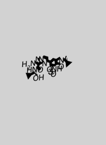 C[C@@H](C1CC1)N1Cc2cc(-c3ccn4nc(N)c(C(=O)N[C@@H](CO)C5CC5)c4n3)cc(NS(C)(=O)=O)c2C1=O